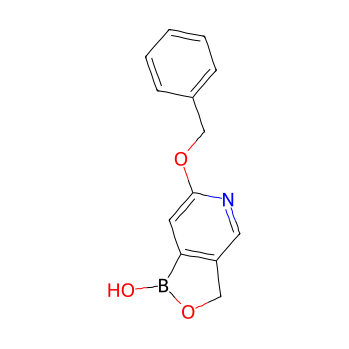 OB1OCc2cnc(OCc3ccccc3)cc21